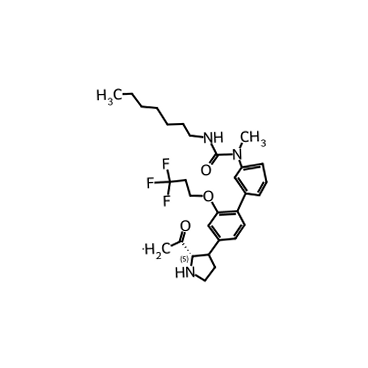 [CH2]C(=O)[C@H]1NCCC1c1ccc(-c2cccc(N(C)C(=O)NCCCCCCC)c2)c(OCCC(F)(F)F)c1